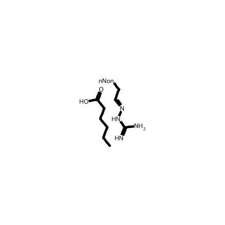 CCCCCC(=O)O.CCCCCCCCCCC=NNC(=N)N